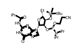 CC[C@H]1O[C@@H](n2cnc3c(=O)[nH]c(NC(=O)C(C)C)nc32)[C@H](OP(OCCC#N)N(C(C)C)C(C)C)[C@@H]1O[Si](C)(C)C(C)(C)C